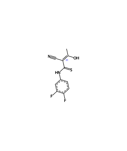 C/C(O)=C(\C#N)C(=S)Nc1ccc(F)c(F)c1